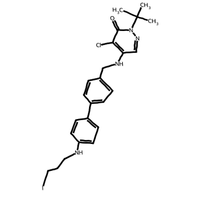 CC(C)(C)n1ncc(NCc2ccc(-c3ccc(NCCCI)cc3)cc2)c(Cl)c1=O